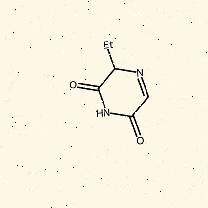 CCC1N=CC(=O)NC1=O